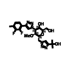 CO[C@@H]1[C@@H](n2cc(-c3ccc(C)c(F)c3F)nn2)[C@@H](O)[C@@H](CO)O[C@@H]1Cn1cc(C(C)(C)O)nn1